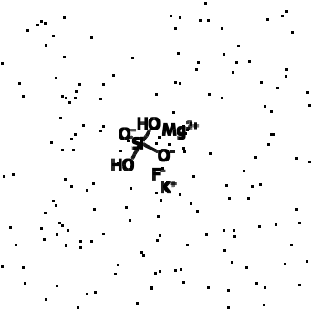 [F-].[K+].[Mg+2].[O-][Si]([O-])(O)O